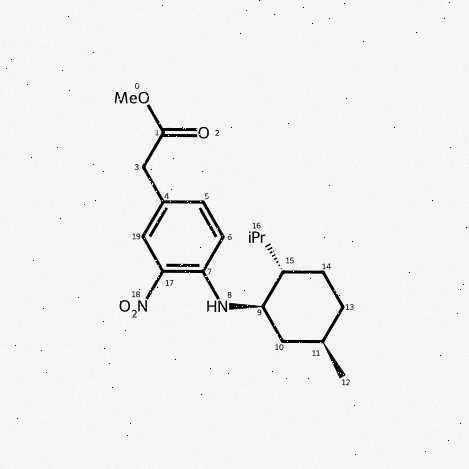 COC(=O)Cc1ccc(N[C@@H]2C[C@H](C)CC[C@H]2C(C)C)c([N+](=O)[O-])c1